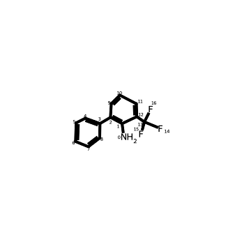 Nc1c(-c2ccccc2)cccc1C(F)(F)F